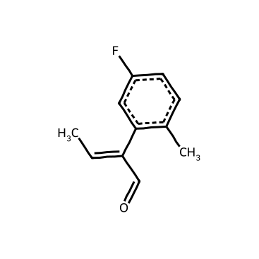 C/C=C(/C=O)c1cc(F)ccc1C